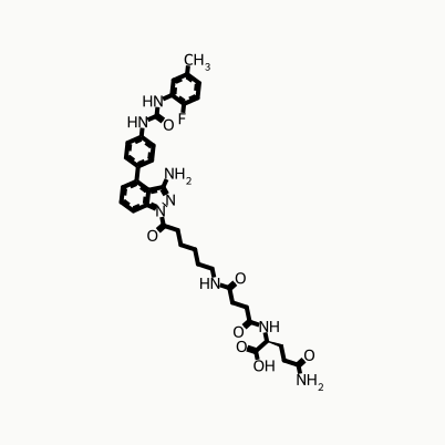 Cc1ccc(F)c(NC(=O)Nc2ccc(-c3cccc4c3c(N)nn4C(=O)CCCCCNC(=O)CCC(=O)N[C@@H](CCC(N)=O)C(=O)O)cc2)c1